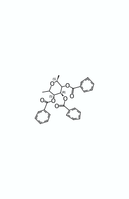 CC1O[C@@H](C)C(OC(=O)c2ccccc2)[C@@H](OC(=O)c2ccccc2)[C@H]1OC(=O)c1ccccc1